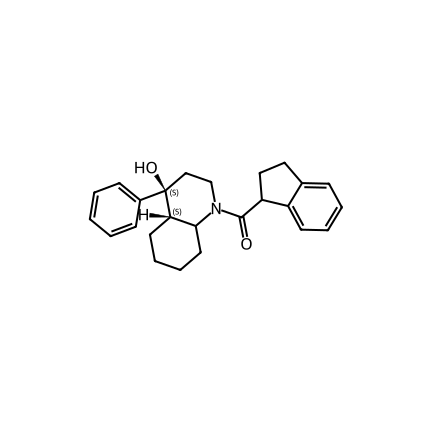 O=C(C1CCc2ccccc21)N1CC[C@@](O)(c2ccccc2)[C@H]2CCCCC21